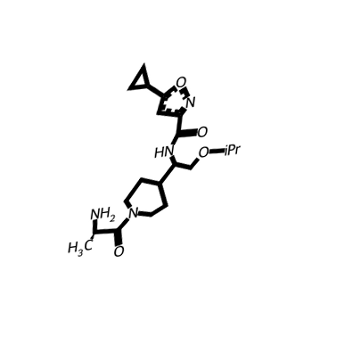 CC(C)OCC(NC(=O)c1cc(C2CC2)on1)C1CCN(C(=O)[C@H](C)N)CC1